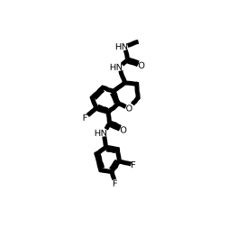 CNC(=O)NC1CCOc2c1ccc(F)c2C(=O)Nc1ccc(F)c(F)c1